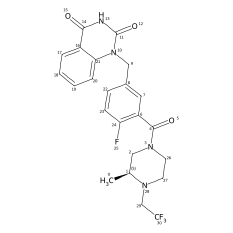 C[C@H]1CN(C(=O)c2cc(Cn3c(=O)[nH]c(=O)c4ccccc43)ccc2F)CCN1CC(F)(F)F